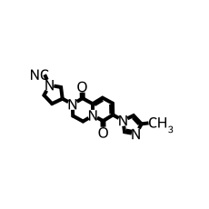 Cc1cn(-c2ccc3n(c2=O)CCN(C2CCN(C#N)C2)C3=O)cn1